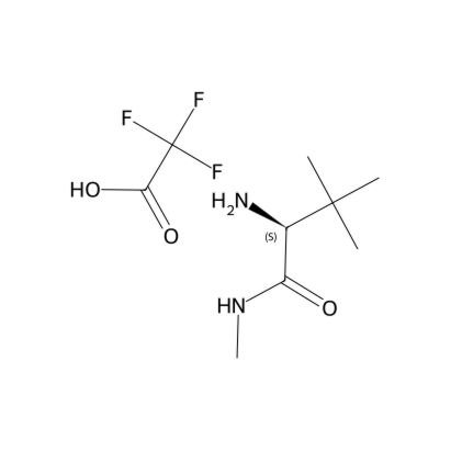 CNC(=O)[C@@H](N)C(C)(C)C.O=C(O)C(F)(F)F